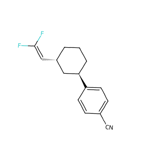 N#Cc1ccc([C@@H]2CCC[C@@H](C=C(F)F)C2)cc1